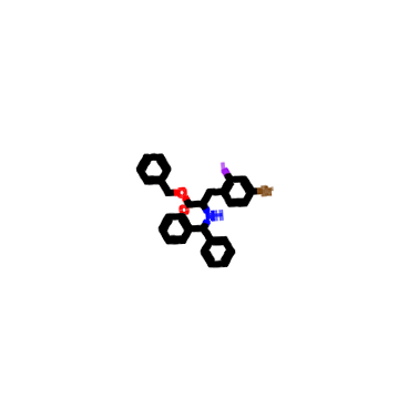 O=C(OCc1ccccc1)C(Cc1ccc(Br)cc1I)NC(c1ccccc1)c1ccccc1